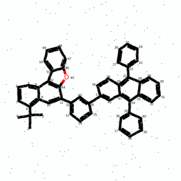 CC(C)(C)c1cccc2c1cc(-c1cccc(-c3ccc4c(-c5ccccc5)c5ccccc5c(-c5ccccc5)c4c3)c1)c1oc3ccccc3c12